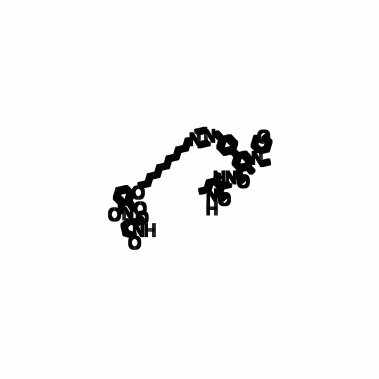 CCN(c1cc(-c2ccc(CN3CCN(CCCCCCCCCCCOc4cccc5c4C(=O)N(C4CCC(=O)NC4=O)C5=O)CC3)cc2)cc(C(=O)NCc2c(C)cc(C)[nH]c2=O)c1C)C1CCOCC1